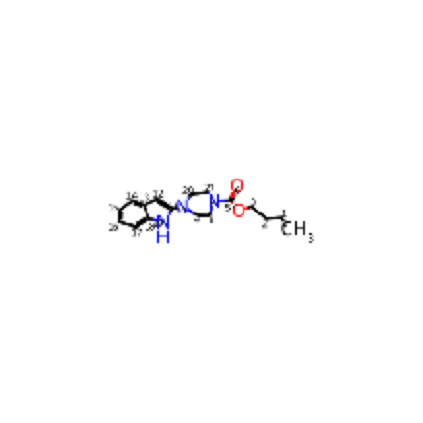 CCCCOC(=O)N1CCN(c2cc3ccccc3[nH]2)CC1